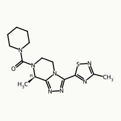 Cc1nsc(-c2nnc3n2CCN(C(=O)N2CCCCC2)[C@@H]3C)n1